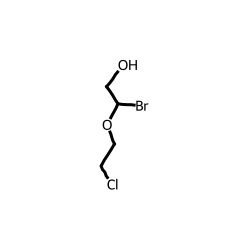 OCC(Br)OCCCl